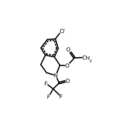 CC(=O)OC1c2cc(Cl)ccc2CCN1C(=O)C(F)(F)F